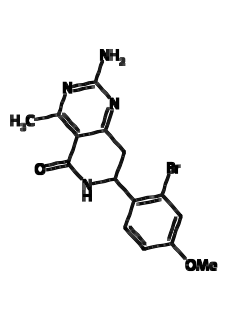 COc1ccc(C2Cc3nc(N)nc(C)c3C(=O)N2)c(Br)c1